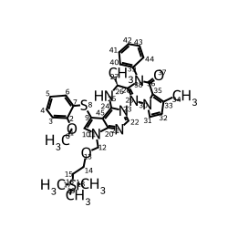 COc1ccccc1Sc1cn(COCC[Si](C)(C)C)c2ncnc(N[C@@H](C)c3nn4ccc(C)c4c(=O)n3-c3ccccc3)c12